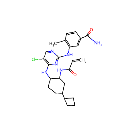 C=CC(=O)NC1CC(C2CCC2)CCC1Nc1nc(Nc2cc(C(N)=O)ccc2C)ncc1Cl